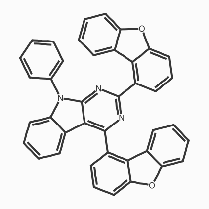 c1ccc(-n2c3ccccc3c3c(-c4cccc5oc6ccccc6c45)nc(-c4cccc5oc6ccccc6c45)nc32)cc1